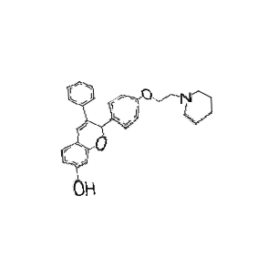 Oc1ccc2c(c1)OC(c1ccc(OCCN3CCCCC3)cc1)C(c1ccccc1)=C2